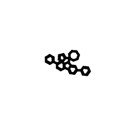 C1=CCC(C2(C3c4cc(-c5ccccc5)ccc4-c4ccc(-c5ccccc5)cc43)CCCCCC2)=C1